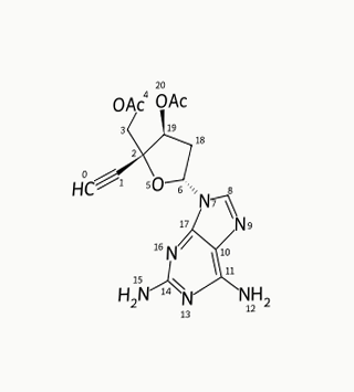 C#C[C@]1(COC(C)=O)O[C@@H](n2cnc3c(N)nc(N)nc32)C[C@@H]1OC(C)=O